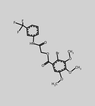 COc1cc(C(=O)OCC(=O)Nc2cccc(C(F)(F)F)c2)c(Br)c(OC)c1OC